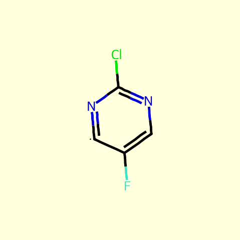 Fc1[c]nc(Cl)nc1